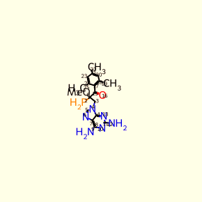 COC(P)(Cn1cnc2c(N)nc(N)nc21)C(=O)c1c(C)cc(C)cc1C